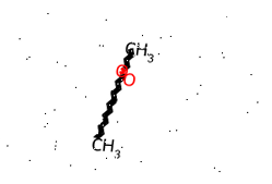 CCCCCCC/C=C/CCCC(=O)OCCCC